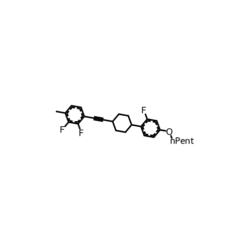 CCCCCOc1ccc(C2CCC(C#Cc3ccc(C)c(F)c3F)CC2)c(F)c1